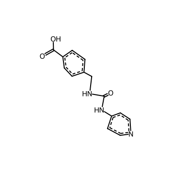 O=C(NCc1ccc(C(=O)O)cc1)Nc1ccncc1